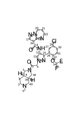 CN1CC[C@@H]2CN(C(=O)Cn3cc(NC(=O)c4cnn5cccnc45)c(-c4cc(Cl)ccc4OC(F)F)n3)C[C@@H]2C1